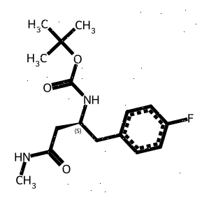 CNC(=O)C[C@H](Cc1ccc(F)cc1)NC(=O)OC(C)(C)C